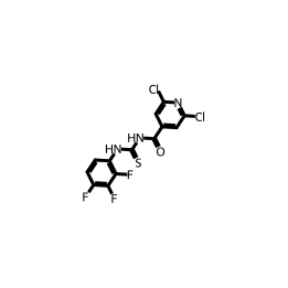 O=C(NC(=S)Nc1ccc(F)c(F)c1F)c1cc(Cl)nc(Cl)c1